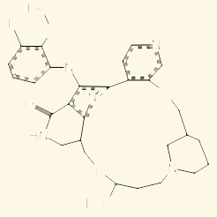 COc1c(F)cccc1Nc1c2[nH]c3c1C(=O)NCC3CCC(C)CCN1CCCC(COc3cnccc3-2)C1